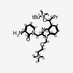 CC(C)C(O[Si](C)(C)C(C)(C)C)c1cccc2c1nc(Cn1cccc(N)c1=O)n2COCC[Si](C)(C)C